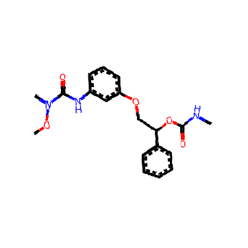 CNC(=O)OC(COc1cccc(NC(=O)N(C)OC)c1)c1ccccc1